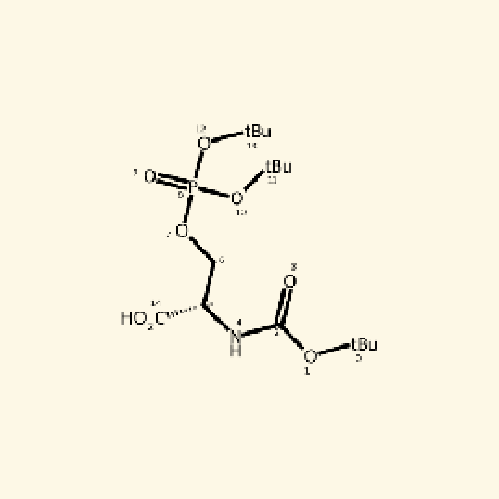 CC(C)(C)OC(=O)N[C@@H](COP(=O)(OC(C)(C)C)OC(C)(C)C)C(=O)O